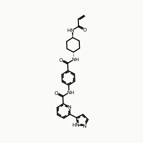 C=CC(=O)N[C@H]1CC[C@H](NC(=O)c2ccc(NC(=O)c3cccc(-c4ccn[nH]4)n3)cc2)CC1